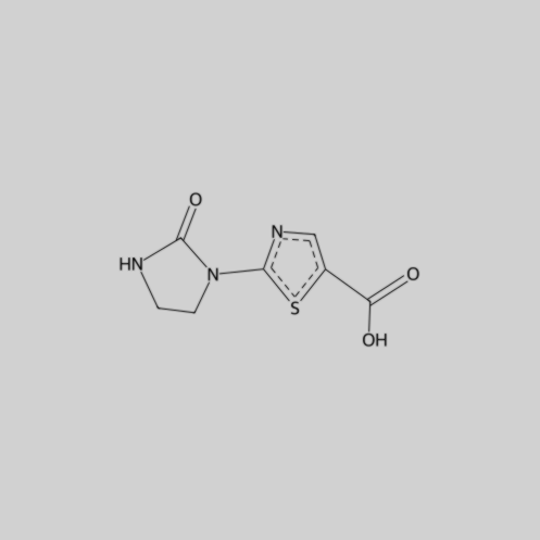 O=C(O)c1cnc(N2CCNC2=O)s1